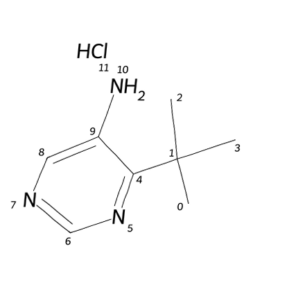 CC(C)(C)c1ncncc1N.Cl